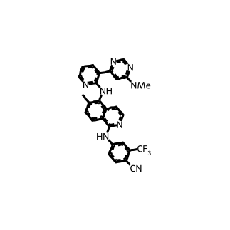 CNc1cc(-c2cccnc2Nc2c(C)ccc3c(Nc4ccc(C#N)c(C(F)(F)F)c4)nccc23)ncn1